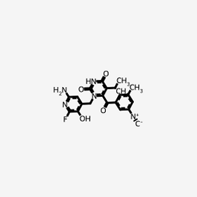 [C-]#[N+]c1cc(C)cc(C(=O)c2c(C(C)C)c(=O)[nH]c(=O)n2Cc2cc(N)nc(F)c2O)c1